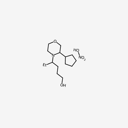 CCC(CCCO)N1CCOCC1C1CCCC1.O=[N+]([O-])O